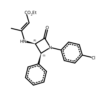 CCOC(=O)C=C(C)N[C@H]1C(=O)N(c2ccc(Cl)cc2)[C@H]1c1ccccc1